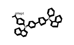 CCCCCCCC(C)c1ccc(N(c2ccc(-c3ccc(N(c4ccccc4)c4cccc5ccccc45)cc3)cc2)c2cccc3ccccc23)cc1